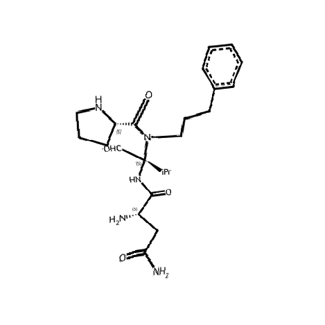 CC(C)[C@]([C]=O)(NC(=O)[C@@H](N)CC(N)=O)N(CCCc1ccccc1)C(=O)[C@@H]1CCCN1